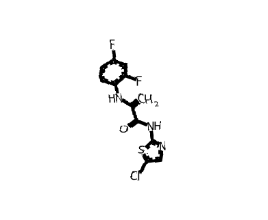 C=C(Nc1ccc(F)cc1F)C(=O)Nc1ncc(Cl)s1